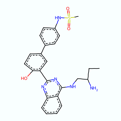 CCC(N)CNc1nc(-c2cc(-c3ccc(NS(C)(=O)=O)cc3)ccc2O)nc2ccccc12